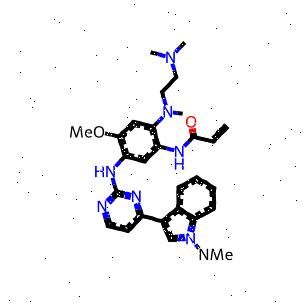 C=CC(=O)Nc1cc(Nc2nccc(-c3cn(NC)c4ccccc34)n2)c(OC)cc1N(C)CCN(C)C